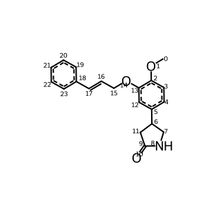 COc1ccc(C2CNC(=O)C2)cc1OCC=Cc1ccccc1